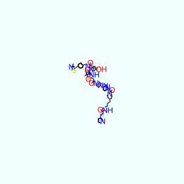 Cc1ncsc1-c1ccc(CNC(=O)[C@@H]2C[C@@H](O)CN2C(=O)[C@@H](NC(=O)CC(=O)N2CCN(c3ccc(C(=O)N4CCC(CCCCNC(=O)/C=C/c5cccnc5)CC4)nn3)CC2)C(C)(C)C)cc1